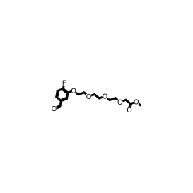 COC(=O)COCCOCCOCCOc1cc(C=O)ccc1F